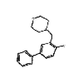 Clc1ccc(-c2ccccc2)[c]c1CN1CCOCC1